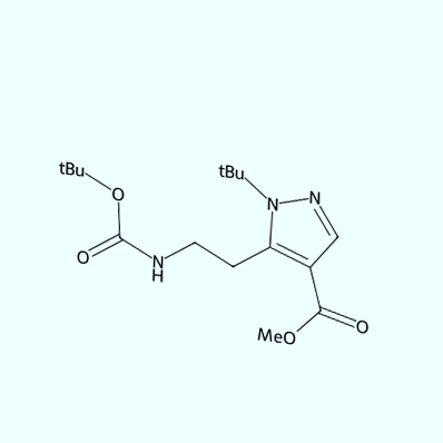 COC(=O)c1cnn(C(C)(C)C)c1CCNC(=O)OC(C)(C)C